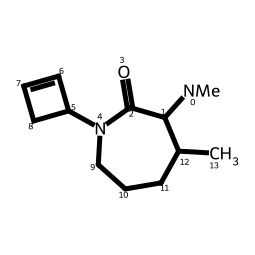 CNC1C(=O)N(C2C=CC2)CCCC1C